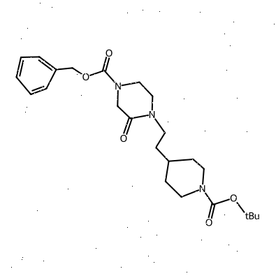 CC(C)(C)OC(=O)N1CCC(CCN2CCN(C(=O)OCc3ccccc3)CC2=O)CC1